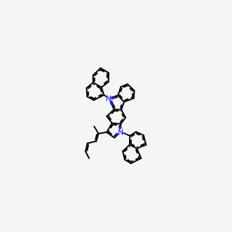 C/C=C\C=C(/C)c1cn(-c2cccc3ccccc23)c2cc3c4ccccc4n(-c4cccc5ccccc45)c3cc12